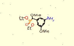 CCOP(=O)(OCC)C(OC)c1cc(N)cc(OC)c1